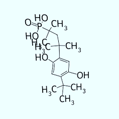 CC(C)(C)c1cc(O)c(C(C)(C)CC(C)(C)P(=O)(O)O)cc1O